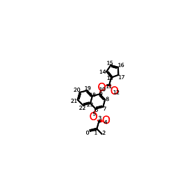 C=C(C)C(=O)Oc1ccc(OC(=O)C2=CC=CC2)c2ccccc12